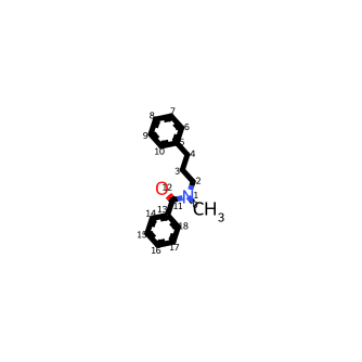 CN(CCCc1ccccc1)C(=O)c1ccccc1